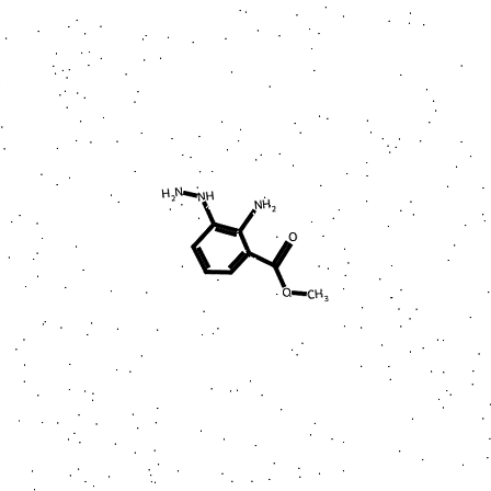 COC(=O)c1cccc(NN)c1N